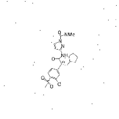 CNC(=O)n1ccc(NC(=O)[C@H](CC2CCCC2)c2ccc(S(C)(=O)=O)c(Cl)c2)n1